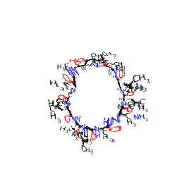 C/C=C/C[C@@H](C)[C@@H](O)[C@H]1C(=O)N[C@@H](CC)C(=O)N(C)CC(=O)N(C)[C@@H](CC(C)C)C(=O)N[C@@H](C(C)C)C(=O)N(C)[C@@H](CC(C)C)C(=O)N[C@@H](C)C(=O)N[C@H](C)C(=O)N(C)[C@@H](CC(C)C)C(=O)N(C)[C@@H](CC(C)C)C(=O)N(C)[C@@H](C(C)C)C(=O)N1C.N